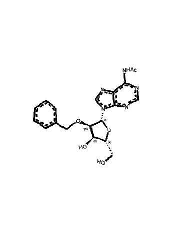 CC(=O)Nc1ncnc2c1ncn2[C@@H]1O[C@H](CO)[C@@H](O)[C@H]1OCc1ccccc1